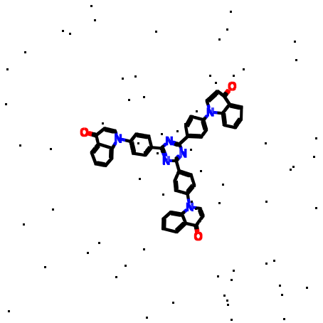 O=c1ccn(-c2ccc(-c3nc(-c4ccc(-n5ccc(=O)c6ccccc65)cc4)nc(-c4ccc(-n5ccc(=O)c6ccccc65)cc4)n3)cc2)c2ccccc12